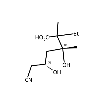 CCC(C)(C(=O)O)[C@](C)(O)C[C@H](O)CC#N